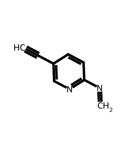 C#Cc1ccc(N=C)nc1